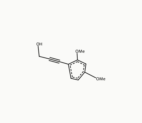 COc1ccc(C#CCO)c(OC)c1